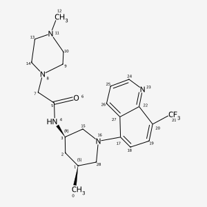 C[C@H]1C[C@@H](NC(=O)CN2CCN(C)CC2)CN(c2ccc(C(F)(F)F)c3ncccc23)C1